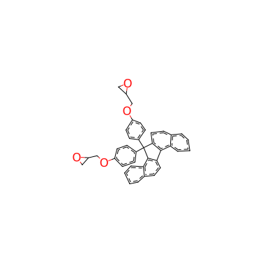 c1ccc2c3c(ccc2c1)C(c1ccc(OCC2CO2)cc1)(c1ccc(OCC2CO2)cc1)c1c-3ccc2ccccc12